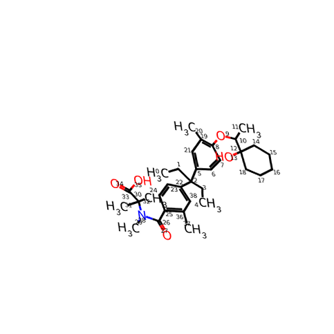 CCC(CC)(c1ccc(OC(C)C2(O)CCCCC2)c(C)c1)c1ccc(C(=O)N(C)C(C)(C)C(=O)O)c(C)c1